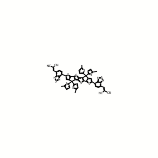 Cc1ccc(C2(c3ccc(C)s3)c3cc(-c4ccc(C=C(C#N)C#N)c5nsnc45)sc3-c3sc4c5c(sc4c32)-c2sc(-c3ccc(C=C(C#N)C#N)c4nsnc34)cc2C5(c2ccc(C)s2)c2ccc(C)s2)s1